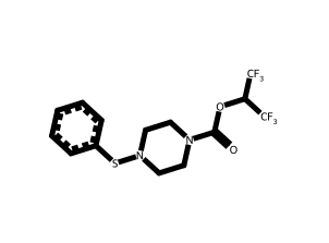 O=C(OC(C(F)(F)F)C(F)(F)F)N1CCN(Sc2ccccc2)CC1